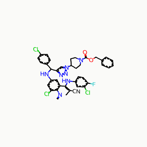 C=Nc1c(Cl)cc(NC(c2ccc(Cl)cc2)c2cn(C3CCN(C(=O)OCc4ccccc4)CC3)nn2)cc1/C(Nc1ccc(F)c(Cl)c1)=C(\C)C#N